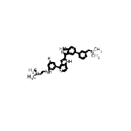 CN(C)CCNc1cc(F)cc(-c2nccc3[nH]c(-c4n[nH]c5ccc(-c6cccc(CN(C)C)c6)cc45)cc23)c1